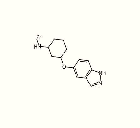 CC(C)NC1CCCC(Oc2ccc3[nH]ncc3c2)C1